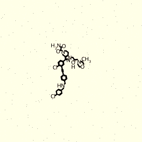 C[C@H]1COCCN1C[C@H](O)Cn1nc(-c2ccc(Cl)c(C#Cc3ccc(CNCC4=CCC(Cl)C=C4)cc3)c2)c2c1CCN(C(=O)C(N)=O)C2